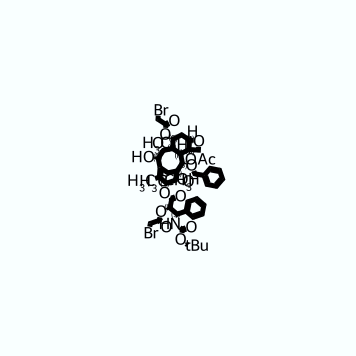 CC(=O)O[C@@]12CO[C@@H]1C[C@H](OC(=O)CBr)[C@@]1(C)C(=O)[C@H](O)C3=C(C)[C@@H](OC(=O)[C@H](OC(=O)CBr)[C@@H](NC(=O)OC(C)(C)C)c4ccccc4)C[C@@](O)([C@@H](OC(=O)c4ccccc4)[C@H]21)C3(C)C